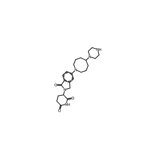 O=C1CCC(N2Cc3cc(N4CCCC(N5CCNCC5)CCC4)ccc3C2=O)C(=O)N1